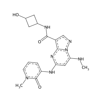 CNc1cc(Nc2cccn(C)c2=O)nc2c(C(=O)NC3CC(O)C3)cnn12